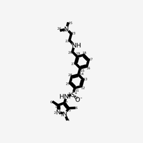 Cc1nn(C)c(C)c1N[S+]([O-])c1ccc(-c2cccc(CNCCN(C)C)c2)cc1